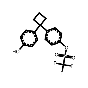 O=S(=O)(Oc1ccc(C2(c3ccc(O)cc3)CCC2)cc1)C(F)(F)F